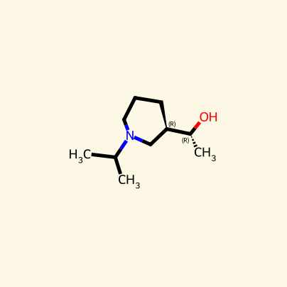 CC(C)N1CCC[C@@H]([C@@H](C)O)C1